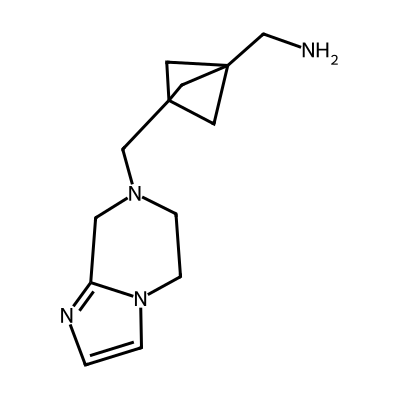 NCC12CC(CN3CCn4ccnc4C3)(C1)C2